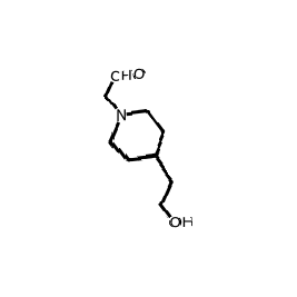 O=CCN1CCC(CCO)CC1